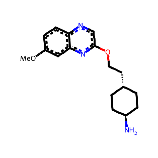 COc1ccc2ncc(OCC[C@H]3CC[C@H](N)CC3)nc2c1